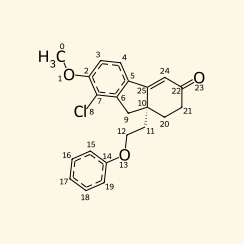 COc1ccc2c(c1Cl)C[C@]1(CCOc3ccccc3)CCC(=O)C=C21